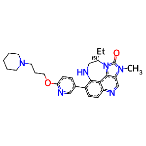 CC[C@H]1CNc2c(-c3ccc(OCCCN4CCCCC4)nc3)ccc3ncc4c(c23)n1c(=O)n4C